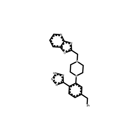 CC(C)Cc1ccc(-c2nn[nH]n2)c(N2CCN(Cc3nc4ncccc4o3)CC2)c1